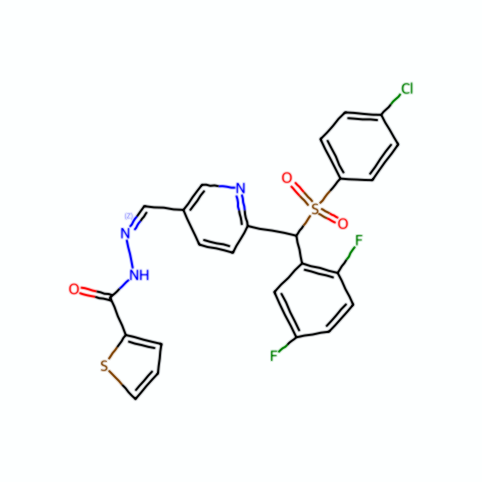 O=C(N/N=C\c1ccc(C(c2cc(F)ccc2F)S(=O)(=O)c2ccc(Cl)cc2)nc1)c1cccs1